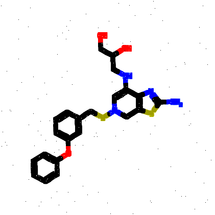 Nc1nc2c(s1)CN(SCc1cccc(Oc3ccccc3)c1)C=C2NCC(O)CO